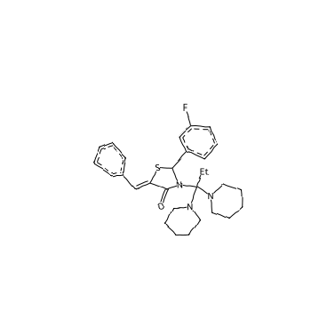 CCC(N1CCCCC1)(N1CCCCC1)N1C(=O)C(=Cc2ccccc2)SC1c1cccc(F)c1